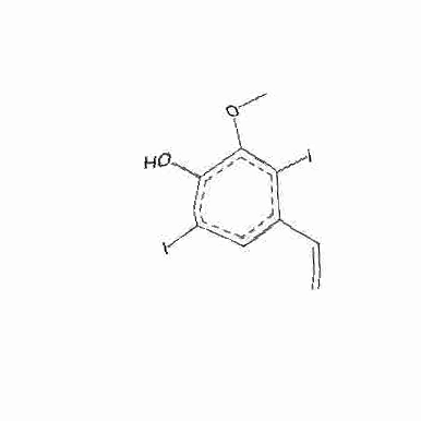 C=Cc1cc(I)c(O)c(OC)c1I